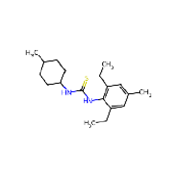 CCc1cc(C)cc(CC)c1NC(=S)NC1CCC(C)CC1